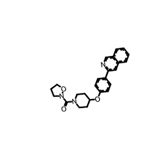 O=C(N1CCC(Oc2ccc(-c3cc4ccccc4cn3)cc2)CC1)N1CCCO1